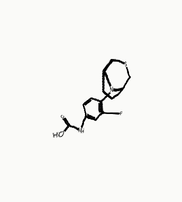 O=C(O)Nc1ccc(N2C3CCC2CSC3)c(F)c1